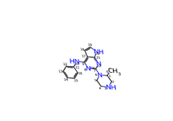 CC1CNCCN1c1nc(Nc2ccccc2)c2cc[nH]c2n1